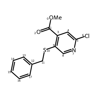 COC(=O)c1cc(Cl)ncc1SCc1ccccc1